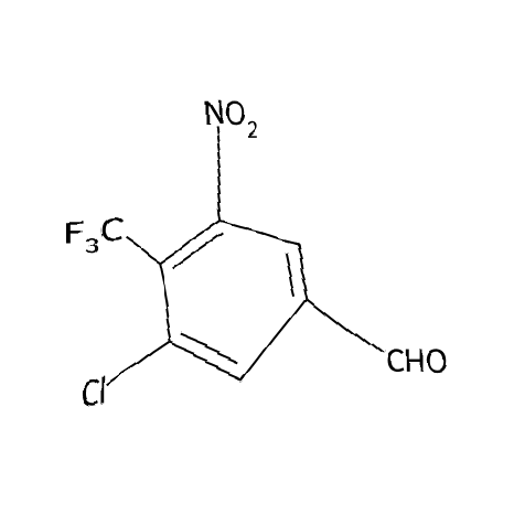 O=Cc1cc(Cl)c(C(F)(F)F)c([N+](=O)[O-])c1